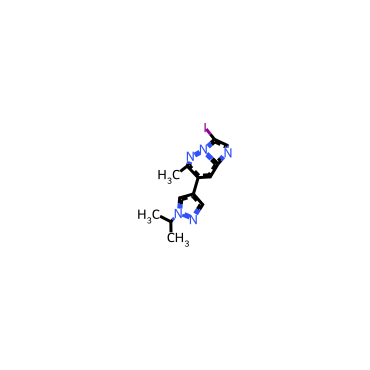 Cc1nn2c(I)cnc2cc1-c1cnn(C(C)C)c1